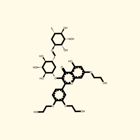 C[C@H]1C[C@H](OC[C@@H]2C[C@H](Oc3c(-c4ccc(OCCO)c(OCCO)c4)oc4cc(OCCO)cc(O)c4c3=O)[C@@H](O)[C@H](O)[C@H]2O)[C@@H](O)[C@@H](O)[C@@H]1O